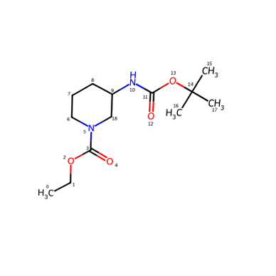 CCOC(=O)N1CCCC(NC(=O)OC(C)(C)C)C1